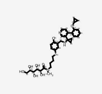 CN(CCCCSc1ccc(Cl)c(CNC2(c3cnccc3-c3ccccc3OC3CC3)CC2)c1)C(=O)[C@@H](O)[C@@H](O)[C@H](O)[C@@H](O)CO